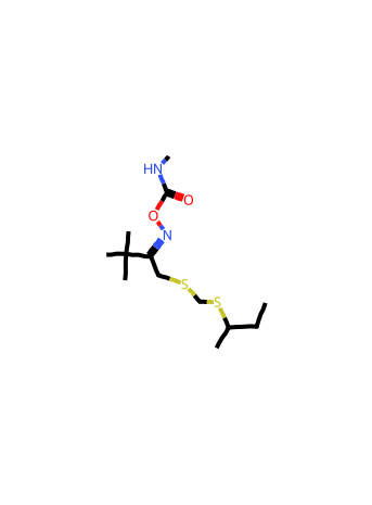 CCC(C)SCSCC(=NOC(=O)NC)C(C)(C)C